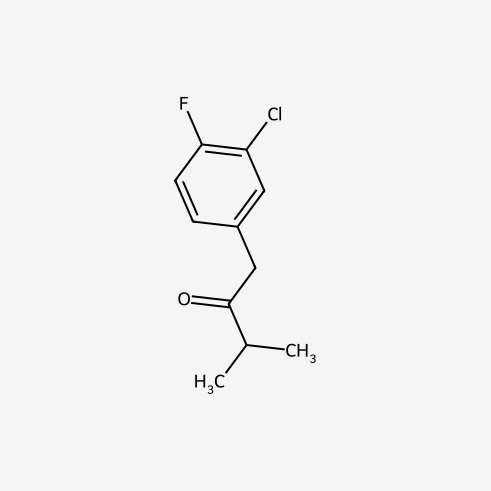 CC(C)C(=O)Cc1ccc(F)c(Cl)c1